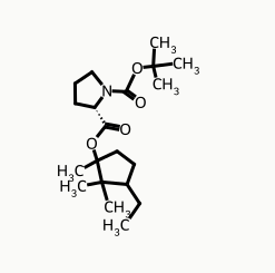 CCC1CCC(C)(OC(=O)[C@@H]2CCCN2C(=O)OC(C)(C)C)C1(C)C